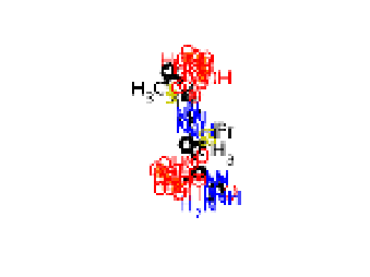 CC(C)SSC(C)c1ccccc1C(=O)O[C@@H]1C[C@H](n2cnc3c(Nc4cccc(C(=O)O[C@@H]5C[C@H](n6cnc7c(=O)[nH]c(N)nc76)O[C@@H]5COP(=O)(O)OP(=O)(O)OP(=O)(O)O)c4C(C)SSC(C)C)ncnc32)O[C@@H]1COP(=O)(O)OP(=O)(O)OP(=O)(O)O